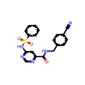 N#Cc1ccc(CNC(=O)c2cc(NS(=O)(=O)c3ccccc3)ncn2)cc1